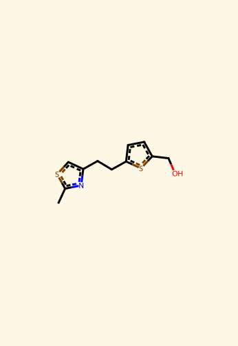 Cc1nc(CCc2ccc(CO)s2)cs1